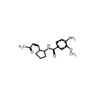 COc1cc(C(=O)NC2CCCC2/C=C\C(C)=O)ccc1N